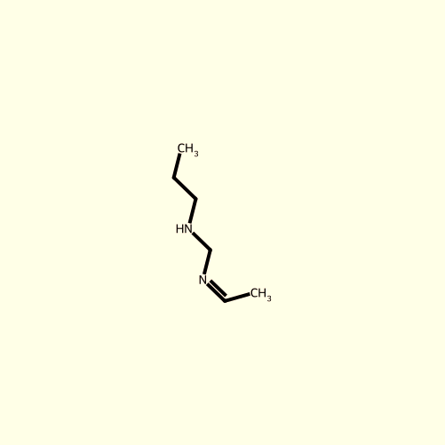 C/C=N\CNCCC